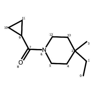 CCC1(C)CCN(C(=O)C2CC2)CC1